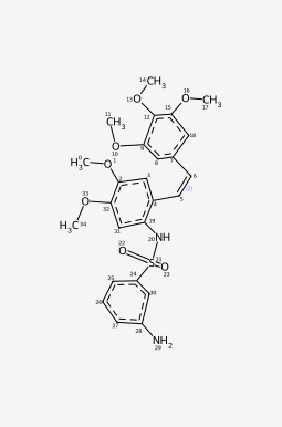 COc1cc(/C=C\c2cc(OC)c(OC)c(OC)c2)c(NS(=O)(=O)c2cccc(N)c2)cc1OC